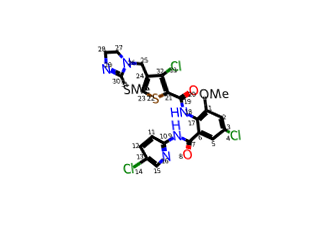 COc1cc(Cl)cc(C(=O)Nc2ccc(Cl)cn2)c1NC(=O)c1scc(CN2CCN=C2SC)c1Cl